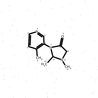 Cc1ccncc1N1C(=O)CN(C)C1C